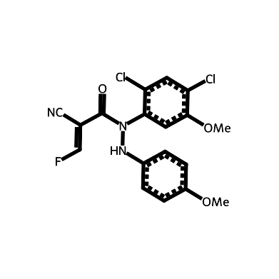 COc1ccc(NN(C(=O)C(C#N)=CF)c2cc(OC)c(Cl)cc2Cl)cc1